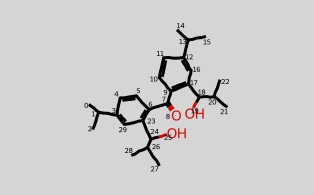 CC(C)c1ccc(C(=O)c2ccc(C(C)C)cc2C(O)C(C)C)c(C(O)C(C)C)c1